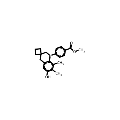 COC(=O)c1ccc(N2CC3(CCC3)Cc3cc(O)c(C)c(C)c32)cc1